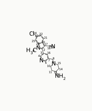 Cn1c(-c2cncc(CN3CCC(N)CC3)c2)c(C#N)c2ccc(Cl)cc21